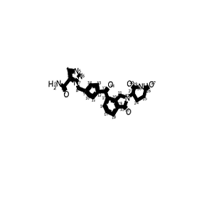 NC(=O)c1cnnn1Cc1ccc(C(=O)c2cccc3c2CN(C2CCC(=O)NC2=O)C3=O)cc1